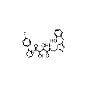 O=C(NCC1CC(Cc2ccccc2O)=CS1)[C@H](O)[C@@H](O)C(=O)N1CCCC1c1ccc(F)cc1